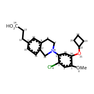 COc1cc(Cl)c(N2CCc3cc(CCC(=O)O)ccc3C2)cc1OC1CCC1